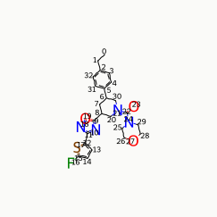 CCc1ccc(C2CC(c3nc(-c4ccc(F)s4)no3)CN(C(=O)N3CCOCC3)C2)cc1